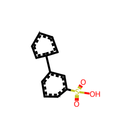 O=S(=O)(O)c1[c]ccc(-c2cc[c]cc2)c1